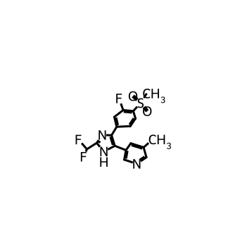 Cc1cncc(-c2[nH]c(C(F)F)nc2-c2ccc(S(C)(=O)=O)c(F)c2)c1